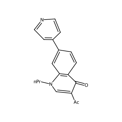 CCCn1cc(C(C)=O)c(=O)c2ccc(-c3ccncc3)cc21